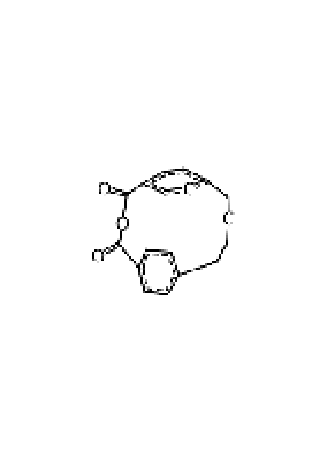 O=C1OC(=O)c2ccc(cc2)CCCCc2ccc1cc2